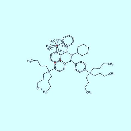 CCCC[Si](CCCC)(CCCC)c1ccc(P(c2ccc([Si](CCCC)(CCCC)CCCC)cc2)N(C2CCCCC2)P(c2ccccc2[Si](C)(C)C)c2ccccc2[Si](C)(C)C)cc1